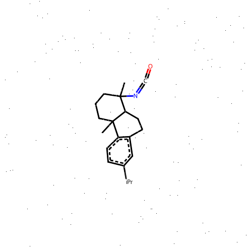 CC(C)c1ccc2c(c1)CCC1C(C)(N=C=O)CCCC21C